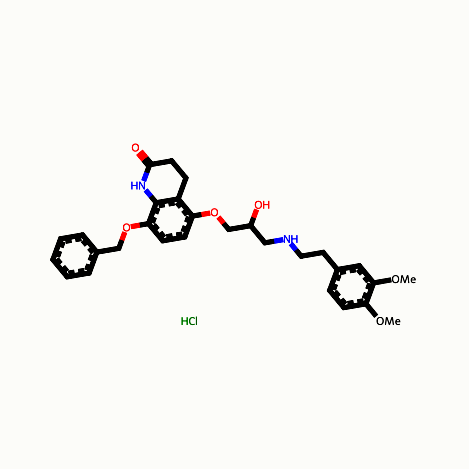 COc1ccc(CCNCC(O)COc2ccc(OCc3ccccc3)c3c2CCC(=O)N3)cc1OC.Cl